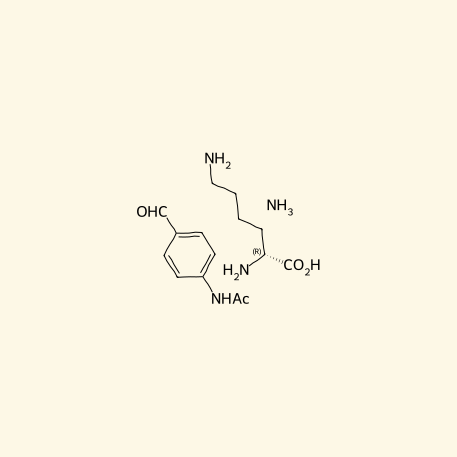 CC(=O)Nc1ccc(C=O)cc1.N.NCCCC[C@@H](N)C(=O)O